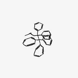 CCCC(c1ccccc1)(c1ccccc1)C(c1ccccc1)(c1ccccc1)c1ccccc1